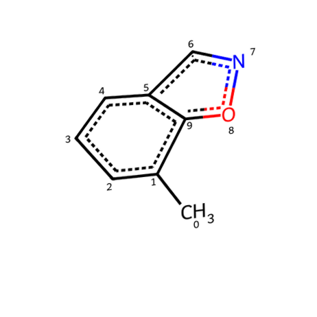 Cc1cccc2[c]noc12